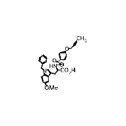 CC#CCOc1ccc(S(=O)(=O)NC(Cc2cn(Cc3ccccc3)c3ccc(OC)cc23)C(=O)O)cc1